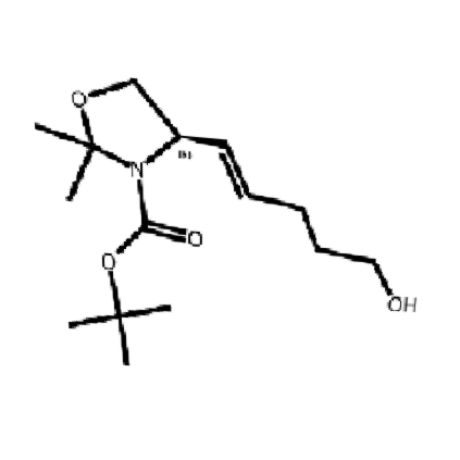 CC(C)(C)OC(=O)N1[C@H](C=CCCCO)COC1(C)C